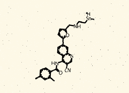 Cc1ccc(C(=O)Nc2c(C#N)cnc3cc(-c4ccc(CNC[CH2][SnH]([CH3])[CH3])o4)ccc23)c(C)c1